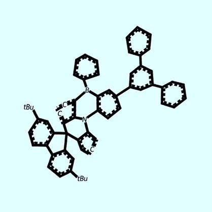 CC(C)(C)c1ccc2c(c1)C1(c3cc(C(C)(C)C)ccc3-2)c2ccccc2N2c3ccc(-c4cc(-c5ccccc5)cc(-c5ccccc5)c4)cc3B(c3ccccc3)c3cccc1c32